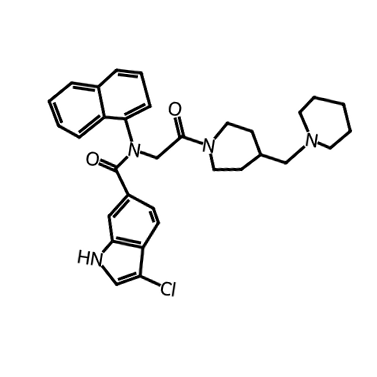 O=C(CN(C(=O)c1ccc2c(Cl)c[nH]c2c1)c1cccc2ccccc12)N1CCC(CN2CCCCC2)CC1